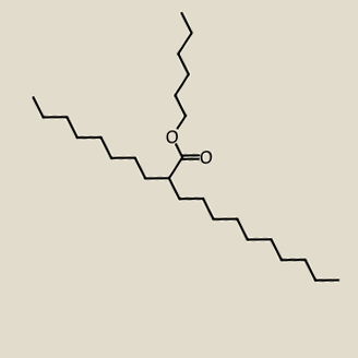 CCCCCCCCCCC(CCCCCCCC)C(=O)OCCCCCC